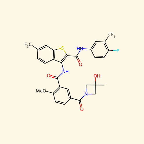 COc1ccc(C(=O)N2CC(C)(O)C2)cc1C(=O)Nc1c(C(=O)Nc2ccc(F)c(C(F)(F)F)c2)sc2cc(C(F)(F)F)ccc12